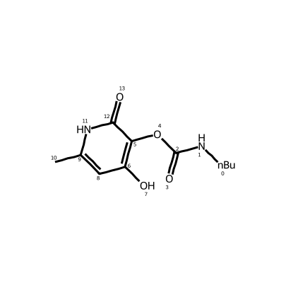 CCCCNC(=O)Oc1c(O)cc(C)[nH]c1=O